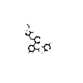 CCn1ncc(Cc2ccncc2-c2ccc(F)cc2C(C)Oc2cc(Br)cnc2[N+](=O)[O-])c1Br